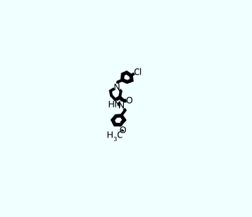 COc1cccc(Cn2[nH]c3c(c2=O)CN(Cc2ccc(Cl)cc2)CC3)c1